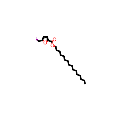 CCCCCCCCCCCCCCCCOC(=O)c1ccc(CI)o1